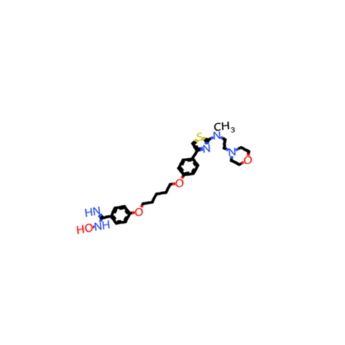 CN(CCN1CCOCC1)c1nc(-c2ccc(OCCCCCOc3ccc(C(=N)NO)cc3)cc2)cs1